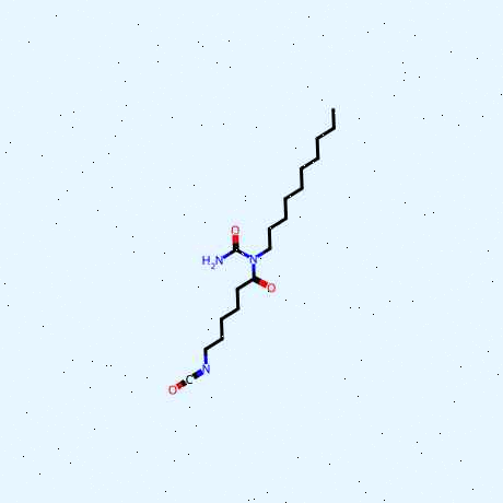 CCCCCCCCCCN(C(N)=O)C(=O)CCCCCN=C=O